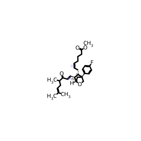 COC(=O)CCC/C=C\C[C@H]1[C@H](/C=C/C(=O)C(C)CC=C(C)C)[C@@H]2C[C@@]1(c1ccc(F)cc1)CO2